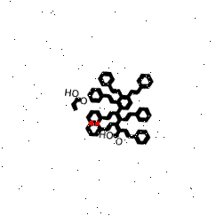 C=CC(=O)O.O=C(O)C(C=Cc1ccccc1)=C(C=Cc1ccccc1)C(C=Cc1ccccc1)=C(C=Cc1ccccc1)c1ccc(C=Cc2ccccc2)c(C=Cc2ccccc2)c1C=Cc1ccccc1